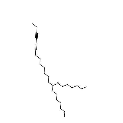 CCC#CC#CCCCCCCCC(OCCCCCC)OCCCCCC